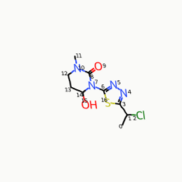 CC(Cl)c1nnc(N2C(=O)N(C)CCC2O)s1